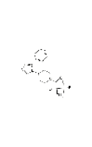 C[C@@](O)(C(=O)N1CCC(n2cncc2-c2ccccc2)CC1)C(F)(F)F